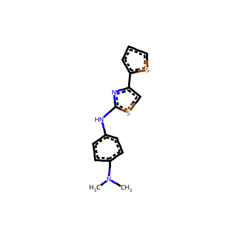 CN(C)c1ccc(Nc2nc(-c3cccs3)cs2)cc1